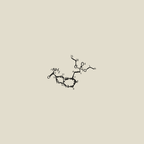 CCOP(=O)(C=Cc1ccnc2nc(C(N)=O)cn12)OCC